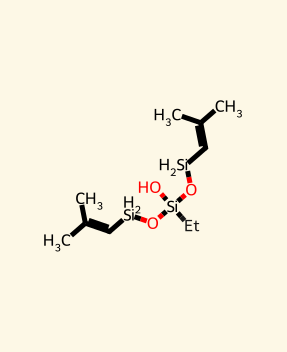 CC[Si](O)(O[SiH2]C=C(C)C)O[SiH2]C=C(C)C